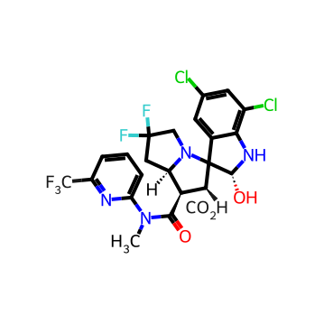 CN(C(=O)[C@H]1[C@H]2CC(F)(F)CN2C2(c3cc(Cl)cc(Cl)c3N[C@@H]2O)[C@H]1C(=O)O)c1cccc(C(F)(F)F)n1